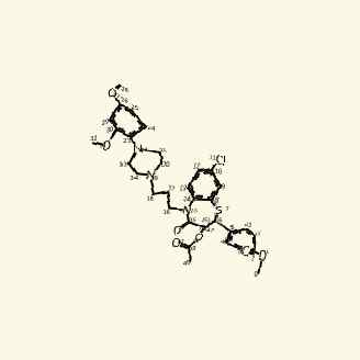 COc1ccc([C@@H]2Sc3cc(Cl)ccc3N(CCCN3CCN(c4ccc(OC)cc4OC)CC3)C(=O)[C@@H]2OC(C)=O)cc1